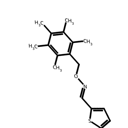 Cc1c(C)c(C)c(CO/N=C/c2cccs2)c(C)c1C